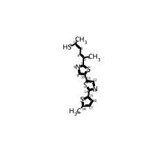 C/C(S)=C/C=C(\C)c1ncc(-c2cnc(-c3ccc(C)s3)s2)s1